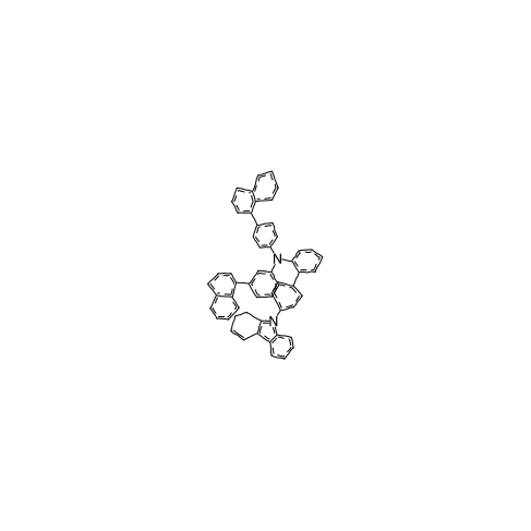 C1=Cc2c(n(-c3ccc(-c4ccccc4N(c4ccc(-c5cccc6ccccc56)cc4)c4cccc(-c5cccc6ccccc56)c4)cc3)c3ccccc23)CC1